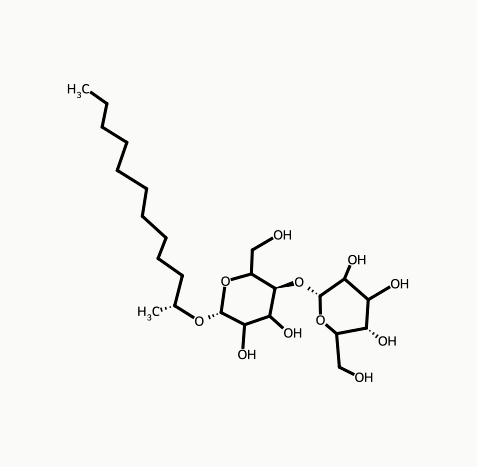 CCCCCCCCCC[C@@H](C)O[C@@H]1OC(CO)[C@@H](O[C@H]2OC(CO)[C@@H](O)C(O)C2O)C(O)C1O